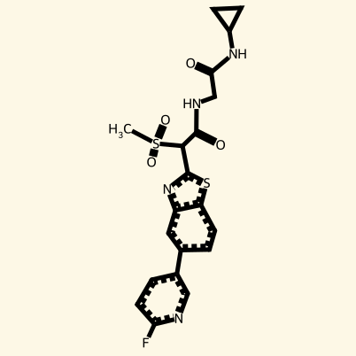 CS(=O)(=O)C(C(=O)NCC(=O)NC1CC1)c1nc2cc(-c3ccc(F)nc3)ccc2s1